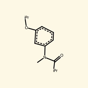 CC(C)Oc1cccc(N(C)C(=O)C(C)C)c1